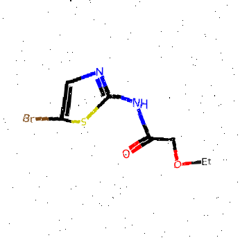 CCOCC(=O)Nc1ncc(Br)s1